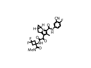 CNC(=O)C1(NC(=O)C(=O)c2c(C)c(C(=O)Nc3ccc(F)c(C#N)c3)n3c2C[C@H]2C[C@H]23)CC(F)(F)C1